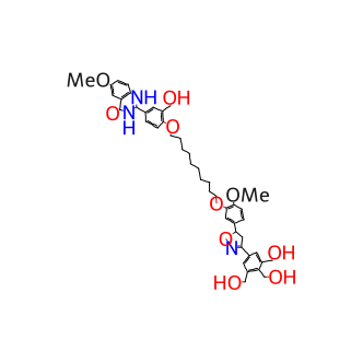 COc1ccc2c(c1)C(=O)NC(c1ccc(OCCCCCCCCCCOc3cc(C4CC(c5cc(CO)c(CO)c(CO)c5)=NO4)ccc3OC)c(CO)c1)N2